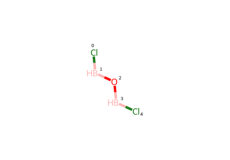 ClBOBCl